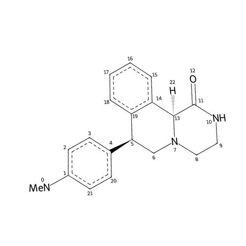 CNc1ccc([C@@H]2CN3CCNC(=O)[C@@H]3c3ccccc32)cc1